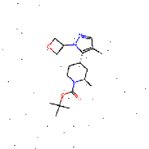 Cc1cnn(C2COC2)c1[C@H]1CCN(C(=O)OC(C)(C)C)[C@H](C)C1